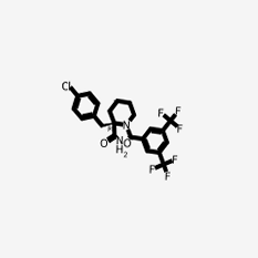 NC(=O)[C@]1(Cc2ccc(Cl)cc2)C[CH]CCN1C(=O)c1cc(C(F)(F)F)cc(C(F)(F)F)c1